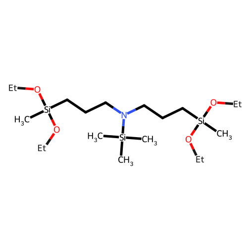 CCO[Si](C)(CCCN(CCC[Si](C)(OCC)OCC)[Si](C)(C)C)OCC